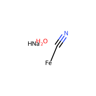 N#[C][Fe].O.[NaH]